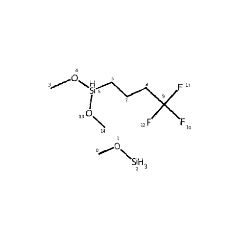 CO[SiH3].CO[SiH](CCCC(F)(F)F)OC